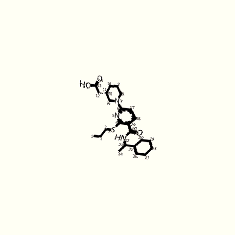 CCCSc1nc(N2CCC[C@@H](CC(=O)O)C2)ccc1C(=O)NC(C)C1CCCCC1